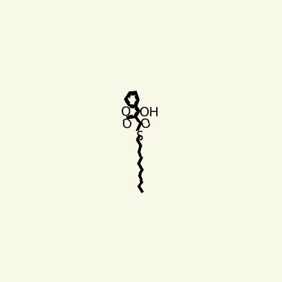 CCCCCCCCCCSCC(=O)c1c(O)c2ccccc2oc1=O